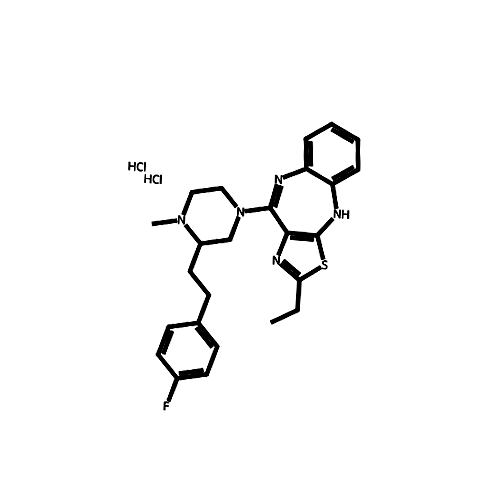 CCc1nc2c(s1)Nc1ccccc1N=C2N1CCN(C)C(CCc2ccc(F)cc2)C1.Cl.Cl